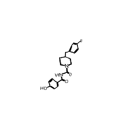 O=C(NC(=O)N1CCC(Cc2ccc(F)cc2)CC1)c1ccc(O)cc1